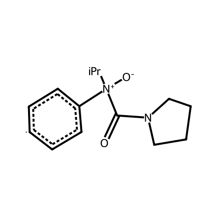 CC(C)[N+]([O-])(C(=O)N1CCCC1)c1cc[c]cc1